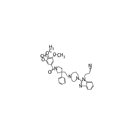 COc1cc(C(=O)N2CCC(CCN3CCCN(c4nc5ccccc5n4CCC#N)CC3)(c3ccccc3)C2)cc(OC)c1OC